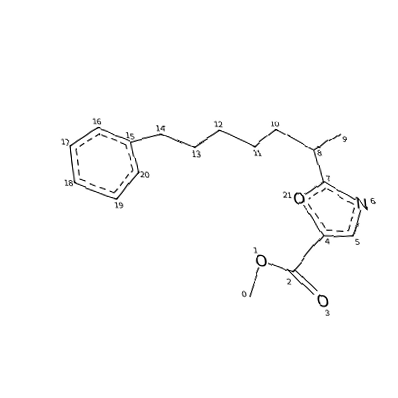 COC(=O)c1cnc(C(C)CCCCCc2ccccc2)o1